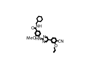 C=CCOc1cc(-c2cnc(Nc3ccc(C(=O)NCC4CCCCC4)cc3OC)nc2)ccc1C#N